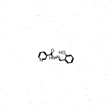 O=C(N/N=C/c1ccccc1O)c1cccnc1